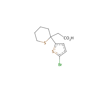 O=C(O)CC1(c2ccc(Br)s2)CCCCS1